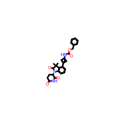 CC1(C)C(=O)N(C2CCC(=O)NC2=O)c2cccc(C34CC(NC(=O)OCc5ccccc5)(C3)C4)c21